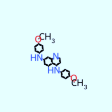 COc1ccc(Nc2ccc3c(Nc4ccc(OC)cc4)ccnc3c2)cc1